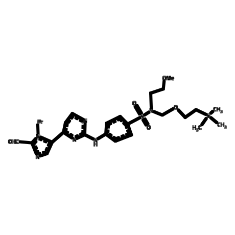 COCCN(COCC[Si](C)(C)C)S(=O)(=O)c1ccc(Nc2nccc(-c3cnc(C=O)n3C(C)C)n2)cc1